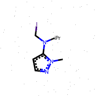 CC(C)N(CI)c1ccnn1C